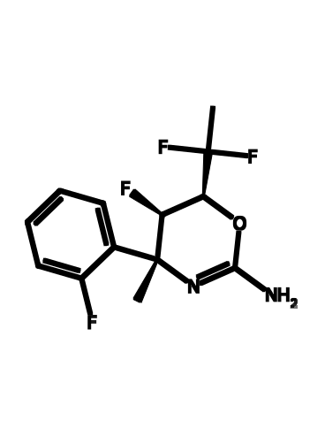 CC(F)(F)[C@H]1OC(N)=N[C@](C)(c2ccccc2F)[C@H]1F